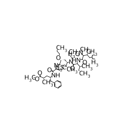 CCCO[C@H](C[C@H](C(C)C)N(CCC)C(=O)[C@@H](NC(=O)[C@H]([C@@H](C)CC)N(C)C)[C@@H](C)CC)c1nc(C(=O)N[C@@H](Cc2ccccc2)C[C@H](C)C(=O)OC)cs1